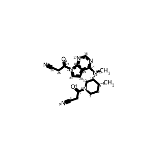 C[C@@H]1CCN(C(=O)CC#N)C[C@@H]1N(C)c1ncnc2c1ccn2C(=O)CC#N